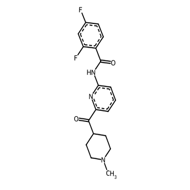 CN1CCC(C(=O)c2cccc(NC(=O)c3ccc(F)cc3F)n2)CC1